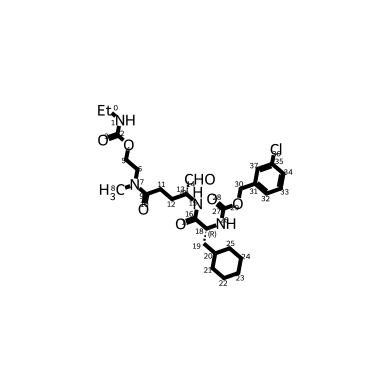 CCNC(=O)OCCN(C)C(=O)CC[C@H](C=O)NC(=O)[C@@H](CC1CCCCC1)NC(=O)OCc1cccc(Cl)c1